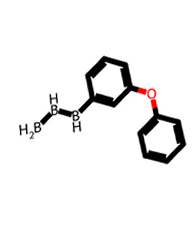 BBBc1cccc(Oc2ccccc2)c1